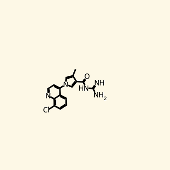 Cc1cn(-c2ccnc3c(Cl)cccc23)cc1C(=O)NC(=N)N